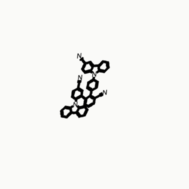 N#Cc1ccc(-n2c3ccccc3c3ccccc32)c(-c2cccc(C#N)c2-c2ccc(-n3c4ccccc4c4cc(C#N)ccc43)cc2)c1